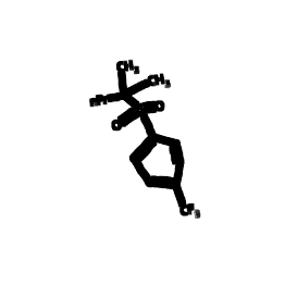 CCCC(C)(C)S(=O)(=O)c1ccc(C(F)(F)F)cc1